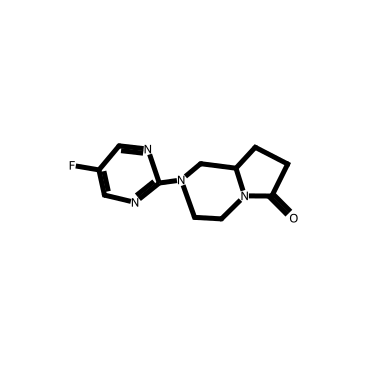 O=C1CCC2CN(c3ncc(F)cn3)CCN12